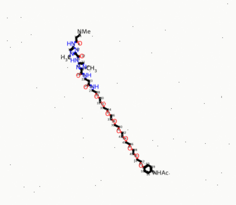 CNCCC(=O)Nc1cn(C)c(C(=O)Nc2cn(C)c(C(=O)NCCC(=O)NCCOCCOCCOCCOCCOCCOCCOCCOCCOc3ccc(NC(C)=O)cc3)n2)n1